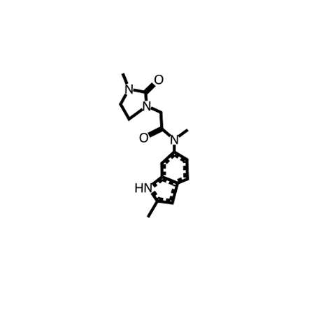 Cc1cc2ccc(N(C)C(=O)CN3CCN(C)C3=O)cc2[nH]1